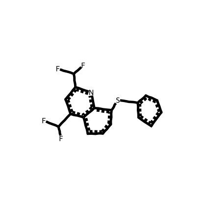 FC(F)c1cc(C(F)F)c2cccc(Sc3ccccc3)c2n1